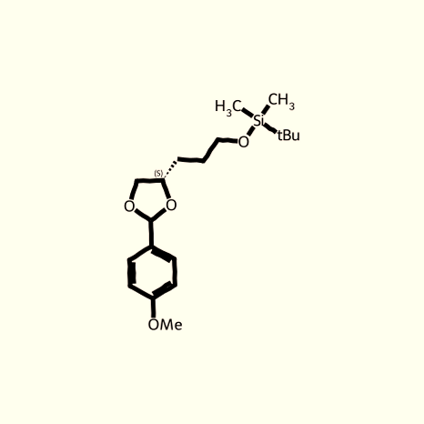 COc1ccc(C2OC[C@H](CCCO[Si](C)(C)C(C)(C)C)O2)cc1